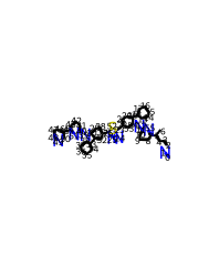 C=N/C=C\C=C(/C)c1cccc(-n2c3ccccc3c3ccc(-c4nnc(-c5ccc6c(c5)c5ccccc5n6-c5cccc(-c6cccnc6)n5)s4)cc32)n1